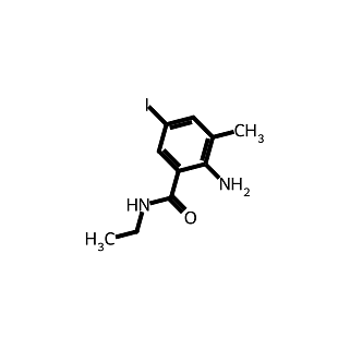 CCNC(=O)c1cc(I)cc(C)c1N